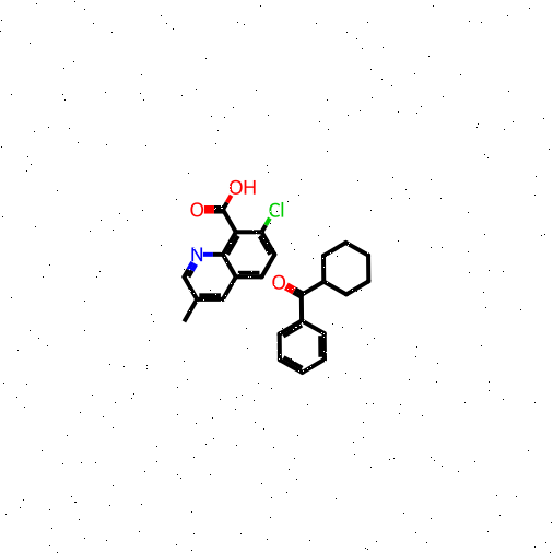 Cc1cnc2c(C(=O)O)c(Cl)ccc2c1.O=C(c1ccccc1)C1CCCCC1